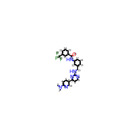 CN(C)c1ccc(-c2ccnc(NCc3cccc(NC(=O)c4cccc(C(F)(F)F)c4)c3)n2)cn1